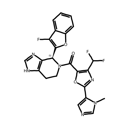 Cn1cncc1-c1nc(C(F)F)c(C(=O)N2CCc3[nH]cnc3[C@H]2c2oc3ccccc3c2F)o1